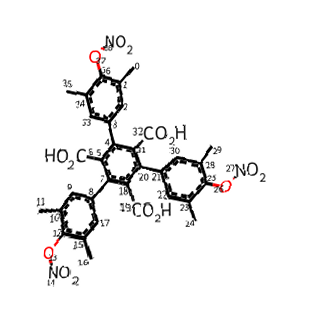 Cc1cc(-c2c(C(=O)O)c(-c3cc(C)c(O[N+](=O)[O-])c(C)c3)c(C(=O)O)c(-c3cc(C)c(O[N+](=O)[O-])c(C)c3)c2C(=O)O)cc(C)c1O[N+](=O)[O-]